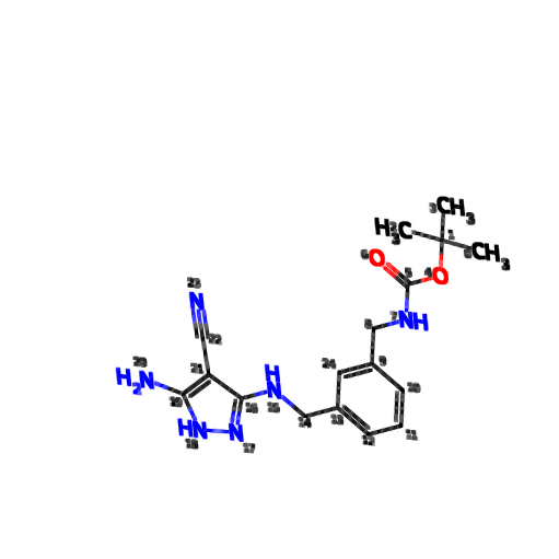 CC(C)(C)OC(=O)NCc1cccc(CNc2n[nH]c(N)c2C#N)c1